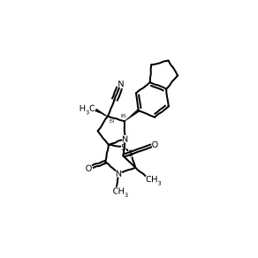 CN1C(=O)C23C[C@](C)(C#N)[C@@H](c4ccc5c(c4)CCC5)N2C(=O)C1(C)SS3